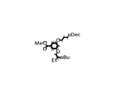 CCCCCCCCCCCCCOc1cc(OCC(CC)CCCC)cc(C(=O)OC)c1